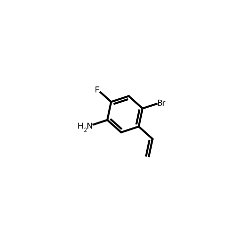 C=Cc1cc(N)c(F)cc1Br